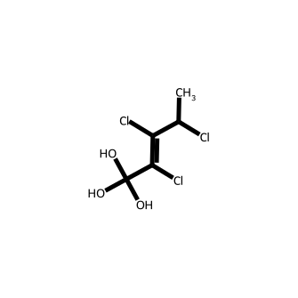 CC(Cl)C(Cl)=C(Cl)C(O)(O)O